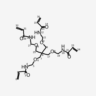 C=CC(=O)NCOCC(COCNC(=O)C=C)(COCNC(=O)C=C)COCNC(=O)C=C